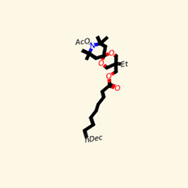 CCCCCCCCCCCCCCCCCC(=O)OCC1(CC)COC2(CC(C)(C)N(OC(C)=O)C(C)(C)C2)OC1